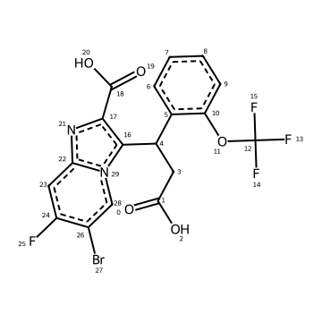 O=C(O)CC(c1ccccc1OC(F)(F)F)c1c(C(=O)O)nc2cc(F)c(Br)cn12